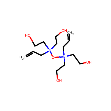 C=CC[N+](CCO)(CCO)O[N+](CC=C)(CCO)CCO